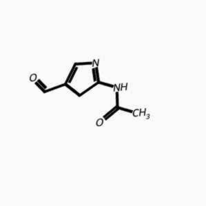 CC(=O)NC1=NC=C(C=O)C1